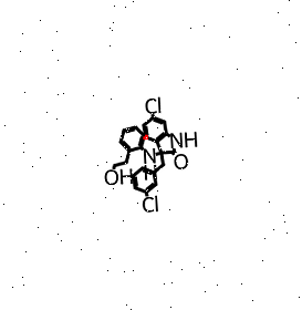 O=C1Nc2cc(Cl)ccc2C1(Cc1cccc(Cl)c1)Nc1ccccc1CCO